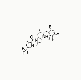 CC(CC1CCC(C)N1C(=O)c1ncc(C(F)(F)F)cn1)[C@H](N)Cc1cc(F)c(F)cc1F